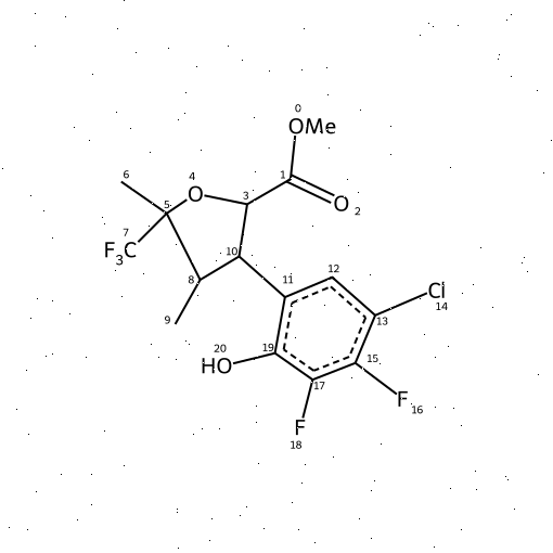 COC(=O)C1OC(C)(C(F)(F)F)C(C)C1c1cc(Cl)c(F)c(F)c1O